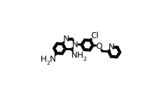 Nc1ccc2c(c1)C(N)N(c1ccc(OCc3ccccn3)c(Cl)c1)C=N2